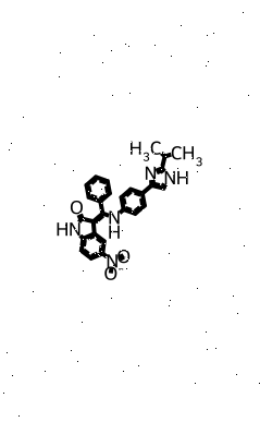 CC(C)c1nc(-c2ccc(NC(=C3C(=O)Nc4ccc([N+](=O)[O-])cc43)c3ccccc3)cc2)c[nH]1